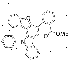 COC(=O)c1ccccc1-c1cc2c3ccccc3n(-c3ccccc3)c2c2c1oc1ccccc12